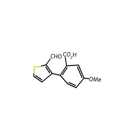 COc1ccc(-c2ccsc2C=O)c(C(=O)O)c1